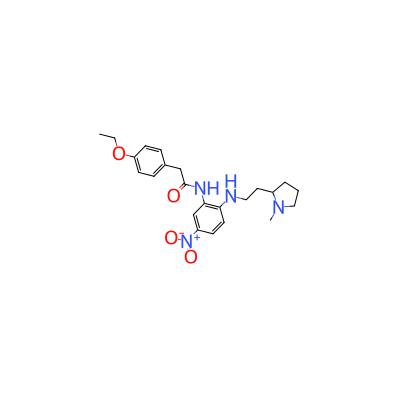 CCOc1ccc(CC(=O)Nc2cc([N+](=O)[O-])ccc2NCCC2CCCN2C)cc1